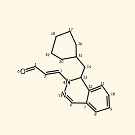 O=CC=CN1N=Cc2ccccc2C1CC1CCCCC1